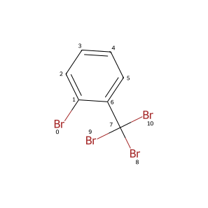 Brc1ccccc1C(Br)(Br)Br